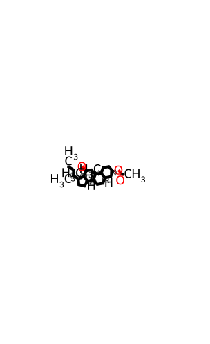 CCC[C@@H](C)C1CC[C@H]2[C@@H]3CC[C@@H]4C[C@H](OC(C)=O)CC[C@]4(C)C3CC(=O)[C@]12C